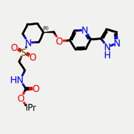 CC(C)OC(=O)NCCS(=O)(=O)N1CCC[C@@H](COc2ccc(-c3ccn[nH]3)nc2)C1